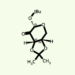 CC(C)(C)O[C@@H]1OC[C@@H]2OC(C)(C)O[C@@H]2C1=O